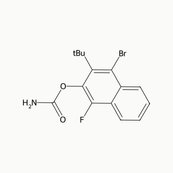 CC(C)(C)c1c(OC(N)=O)c(F)c2ccccc2c1Br